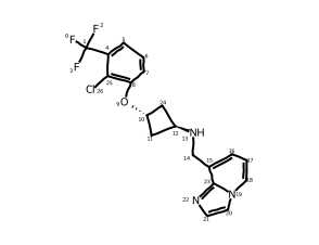 FC(F)(F)c1cccc(O[C@H]2C[C@H](NCc3cccn4ccnc34)C2)c1Cl